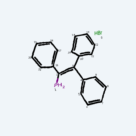 Br.PC(=C(c1ccccc1)c1ccccc1)c1ccccc1